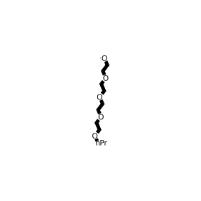 CCCOCCOCCOCCOCC[O]